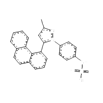 Cc1cc(-c2cccc3ccc4ccccc4c23)n(-c2ccc(NS(N)(=O)=O)cc2)n1